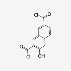 O=C(Cl)c1ccc2cc(O)c(C(=O)Cl)cc2c1